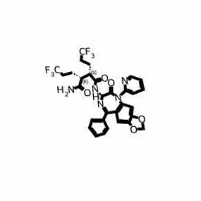 NC(=O)[C@H](CCC(F)(F)F)[C@H](CCC(F)(F)F)C(=O)N[C@H]1N=C(c2ccccc2)c2cc3c(cc2N(c2ccccn2)C1=O)OCO3